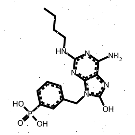 CCCCNc1nc(N)c2nc(O)n(Cc3cccc(P(=O)(O)O)c3)c2n1